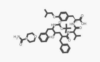 CC(C)COc1ccc(C[C@H](NC(=O)C(NC(=O)C(Cc2ccccc2)CC(O)C(Cc2ccccc2)NC(=O)OC(C)(C)C)C(C)C)C(=O)O)cc1.NC(=O)N1CCOCC1